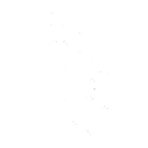 COc1ncnc(C2CC2)c1-c1ncc2ccc(=O)n(Cc3ccc(-n4nc(C(F)(F)F)cc4C)cc3F)c2n1